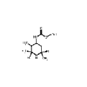 CCCCCCCCOC(=O)NC1CC(C)(CC)NC(C)(CC)C1C